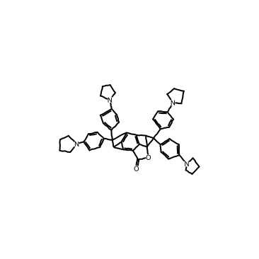 O=C1OC23c4c1c1c5c(c4C2C3(c2ccc(N3CCCC3)cc2)c2ccc(N3CCCC3)cc2)C(c2ccc(N3CCCC3)cc2)(c2ccc(N3CCCC3)cc2)C15